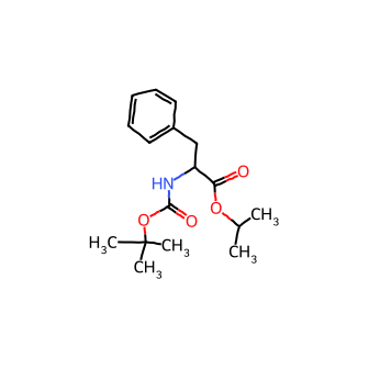 CC(C)OC(=O)C(Cc1ccccc1)NC(=O)OC(C)(C)C